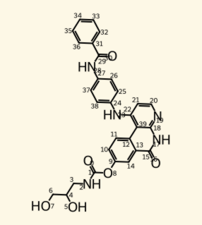 O=C(NCC(O)CO)Oc1ccc2c(c1)c(=O)[nH]c1nccc(Nc3ccc(NC(=O)c4ccccc4)cc3)c12